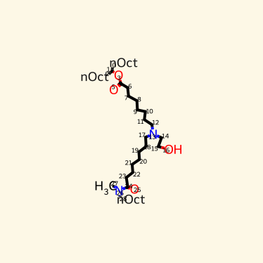 CCCCCCCCC(CCCCCCCC)OC(=O)CCCCCCCN(CCO)CCCCCCCC(=O)N(C)CCCCCCCC